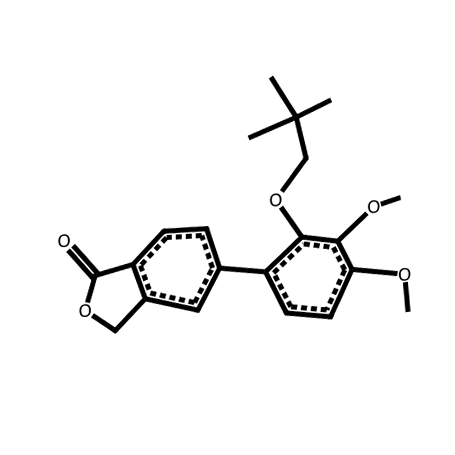 COc1ccc(-c2ccc3c(c2)COC3=O)c(OCC(C)(C)C)c1OC